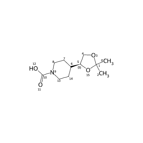 CC1(C)OC[C@H](C2CCN(C(=O)O)CC2)O1